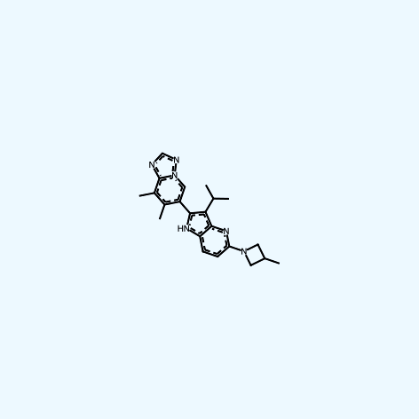 Cc1c(-c2[nH]c3ccc(N4CC(C)C4)nc3c2C(C)C)cn2ncnc2c1C